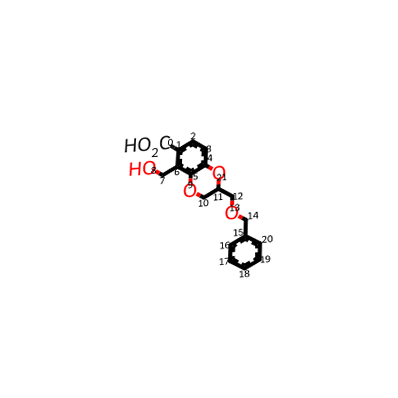 O=C(O)c1ccc2c(c1CO)OCC(COCc1ccccc1)O2